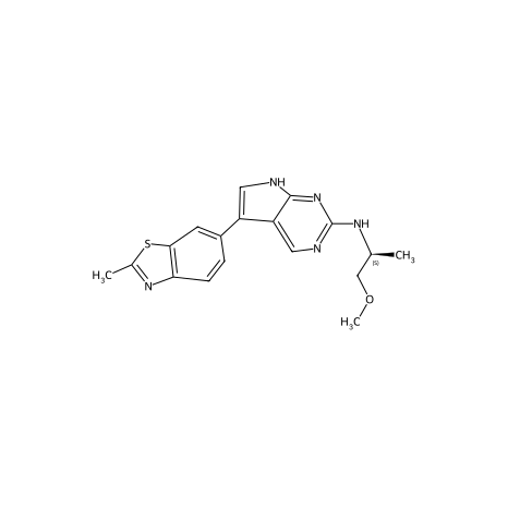 COC[C@H](C)Nc1ncc2c(-c3ccc4nc(C)sc4c3)c[nH]c2n1